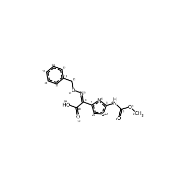 COC(=O)Nc1nc(C(=NOCc2ccccc2)C(=O)O)cs1